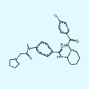 CN(C(=O)CN1CCCC1)c1ccc(C(=O)NC2CCCCC2NC(=O)c2ccc(Cl)cn2)cc1